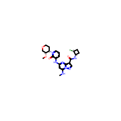 CNc1cc(Nc2cccn([C@H]3CCOC[C@H]3OC)c2=O)nc2c(C(=O)N[C@@H]3CC[C@@H]3F)cnn12